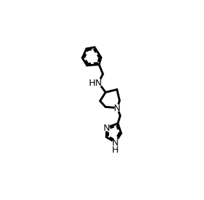 c1ccc(CNC2CCN(Cc3c[nH]cn3)CC2)cc1